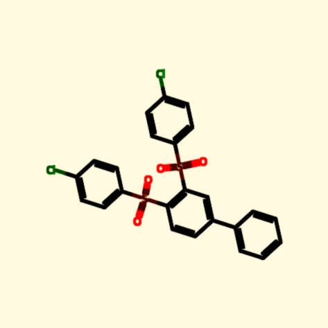 O=S(=O)(c1ccc(Cl)cc1)c1ccc(-c2ccccc2)cc1S(=O)(=O)c1ccc(Cl)cc1